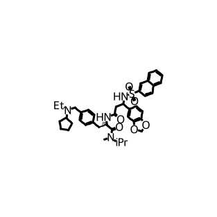 CCN(Cc1ccc(C[C@@H](NC(=O)CC(NS(=O)(=O)c2ccc3ccccc3c2)c2ccc3c(c2)OCO3)C(=O)N(C)C(C)C)cc1)C1CCCC1